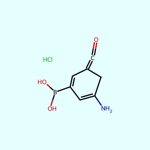 Cl.NC1=CC(B(O)O)=CC(=C=O)C1